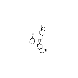 CCN1CCC(CNc2ccc3c(c2)NCC3)CC1.Fc1ccccc1